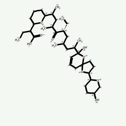 CCC(C(=O)O)C1CCCC(C(C)CC(C)C(=O)[C@H](CC)CC(C)CC(C)C2(O)C=CCC3(CCC(C4CCC(O)CO4)O3)O2)O1